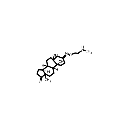 CNCCON=C1CC[C@]2(C)[C@@H]3CC[C@]4(C)C(=O)CC[C@H]4[C@@H]3CCC2(O)C1